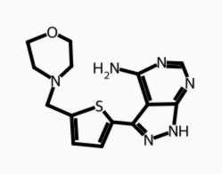 Nc1ncnc2[nH]nc(-c3ccc(CN4CCOCC4)s3)c12